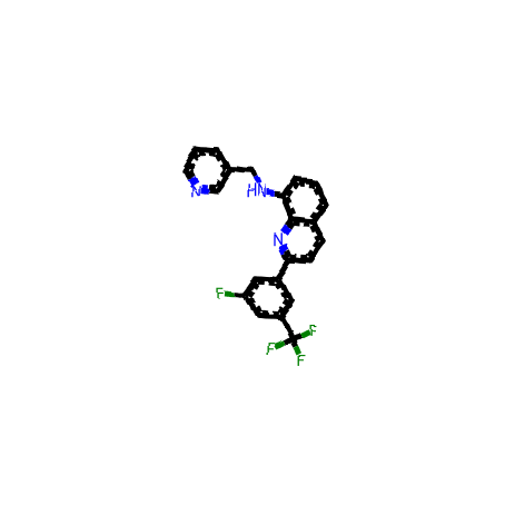 Fc1cc(-c2ccc3cccc(NCc4cccnc4)c3n2)cc(C(F)(F)F)c1